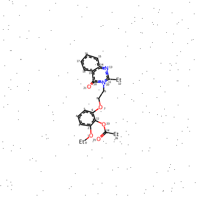 CCOc1cccc(OCCn2c(CC)nc3ccccc3c2=O)c1OC(=O)CC